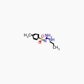 CCCN/C(N)=N/S(=O)(=O)c1ccc(C)cc1